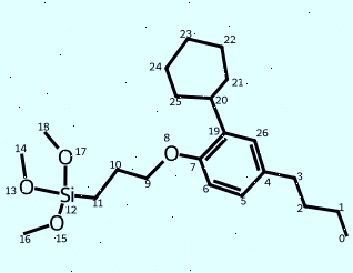 CCCCc1ccc(OCCC[Si](OC)(OC)OC)c(C2CCCCC2)c1